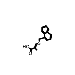 C/C(=C\SCc1cccc2ccccc12)C(=O)O